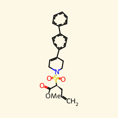 C=CC[C@@H](C(=O)OC)S(=O)(=O)N1CC=C(c2ccc(-c3ccccc3)cc2)CC1